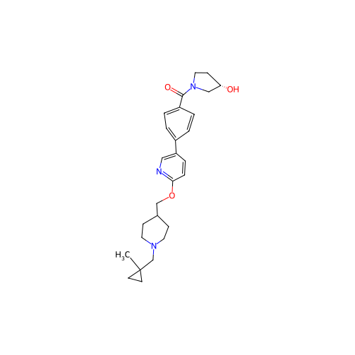 CC1(CN2CCC(COc3ccc(-c4ccc(C(=O)N5CC[C@H](O)C5)cc4)cn3)CC2)CC1